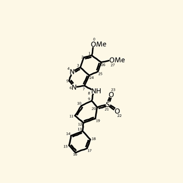 COc1cc2ncnc(NC3C=CC(c4ccccc4)=CC3=S(=O)=O)c2cc1OC